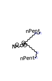 CCCCC/C=C\C/C=C\CCCCCCCCC1(CCCCCCCC/C=C\C/C=C\CCCCC)OC2CC(CC(=O)CN(C)C)CC2O1